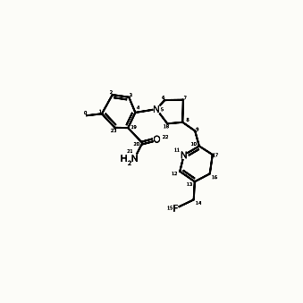 Cc1ccc(N2CCC(CC3=NC=C(CF)CC3)C2)c(C(N)=O)c1